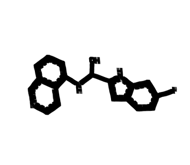 OC(Nc1cccc2cnccc12)c1cc2ccc(F)cc2[nH]1